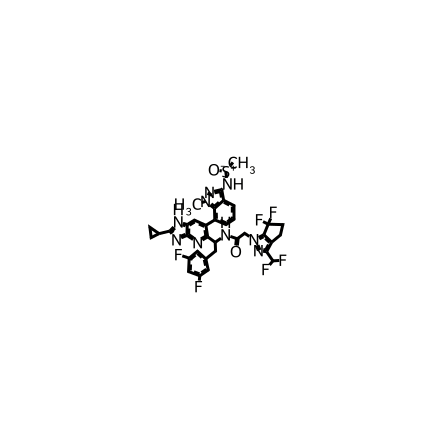 Cn1nc(N[S+](C)[O-])c2cccc(-c3cc4[nH]c(C5CC5)nc4nc3C(Cc3cc(F)cc(F)c3)NC(=O)Cn3nc(C(F)F)c4c3C(F)(F)CC4)c21